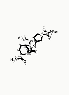 CNS(=O)(=O)N1CCC(O[N+]2(OS(=O)(=O)O)C(=O)N3CC2CC[C@H]3C(N)=O)C1